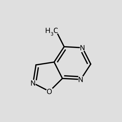 Cc1ncnc2oncc12